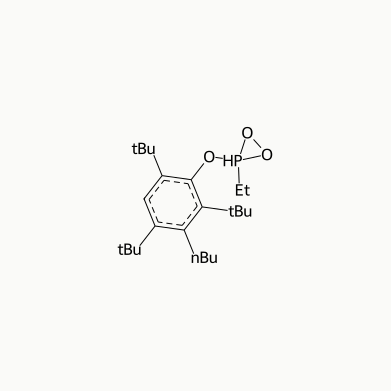 CCCCc1c(C(C)(C)C)cc(C(C)(C)C)c(O[PH]2(CC)OO2)c1C(C)(C)C